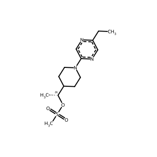 CCc1cnc(N2CCC([C@@H](C)OS(C)(=O)=O)CC2)cn1